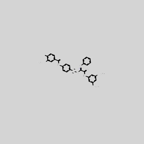 COc1cc(NC(=N)/C(=N\c2ccccc2)NS(=O)(=O)c2ccc(NC(=O)c3ccc(C)c(OC)c3)cc2)cc(OC)c1